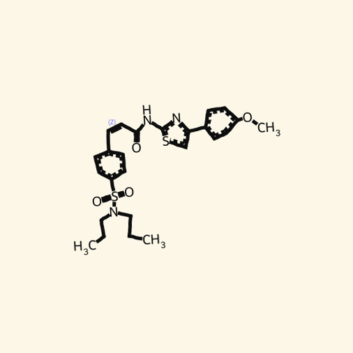 CCCN(CCC)S(=O)(=O)c1ccc(/C=C\C(=O)Nc2nc(-c3ccc(OC)cc3)cs2)cc1